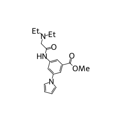 CCN(CC)CC(=O)Nc1cc(C(=O)OC)cc(-n2cccc2)c1